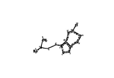 CN(C)CCn1ncc2ncc(Cl)nc21